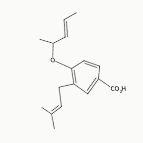 CC=CC(C)Oc1ccc(C(=O)O)cc1CC=C(C)C